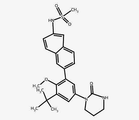 COc1c(-c2ccc3cc(NS(C)(=O)=O)ccc3c2)cc(N2CCCNC2=O)cc1C(C)(C)C